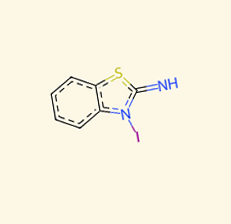 N=c1sc2ccccc2n1I